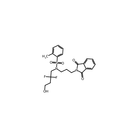 Cc1ccccc1S(=O)(=O)N(CCCN1C(=O)c2ccccc2C1=O)CC(F)(F)CCO